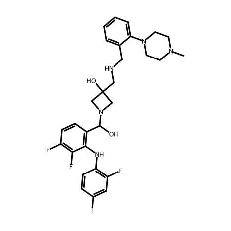 CN1CCN(c2ccccc2CNCC2(O)CN(C(O)c3ccc(F)c(F)c3Nc3ccc(I)cc3F)C2)CC1